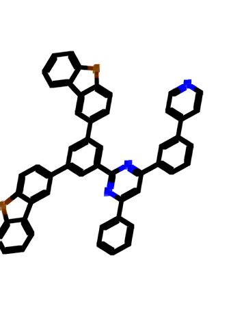 c1ccc(-c2cc(-c3cccc(-c4ccncc4)c3)nc(-c3cc(-c4ccc5sc6ccccc6c5c4)cc(-c4ccc5sc6ccccc6c5c4)c3)n2)cc1